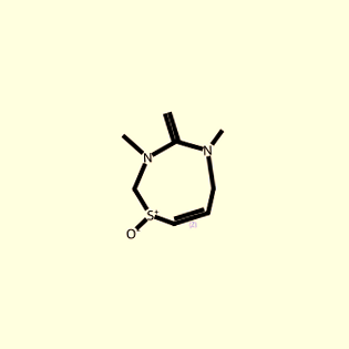 C=C1N(C)C/C=C\[S+]([O-])CN1C